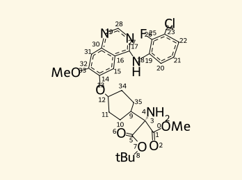 COC(=O)[C@@](N)(C(=O)OC(C)(C)C)C1CCC(Oc2cc3c(Nc4cccc(Cl)c4F)ncnc3cc2OC)CC1